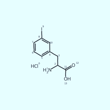 Cl.NC(Cc1cccc(I)c1)C(=O)O